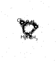 CCC(C)[C@@H]1NCCOc2ccccc2[C@@H]2C[C@@H]2CNC(=O)[C@H](Cc2cccc(Cl)c2)NC(=O)CCCCNC1=O